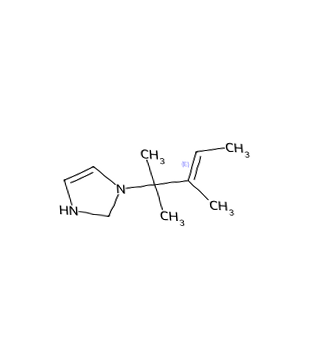 C/C=C(\C)C(C)(C)N1C=CNC1